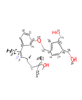 CCC(O)([CH]C/C=C(/C)c1cccc(OCc2ccc(CO)c(CO)c2)c1)CC